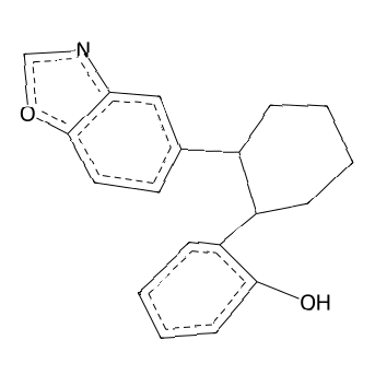 Oc1ccccc1C1CCCCC1c1ccc2ocnc2c1